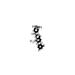 Cn1c(=O)c(Oc2ccc(F)cc2F)cc2cnc(NC3CCS(O)(O)CC3)nc21